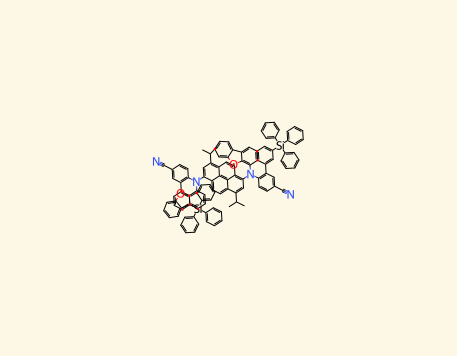 CC(C)c1cc(N(c2ccc(C#N)cc2-c2cccc([Si](c3ccccc3)(c3ccccc3)c3ccccc3)c2)c2cccc3c2oc2ccccc23)c2ccc3c(C(C)C)cc(N(c4ccc(C#N)cc4-c4cccc([Si](c5ccccc5)(c5ccccc5)c5ccccc5)c4)c4cccc5c4oc4ccccc45)c4ccc1c2c34